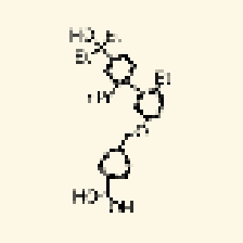 CCCc1cc(C(O)(CC)CC)ccc1-c1cc(OCc2ccc(C(O)O)cc2)ccc1CC